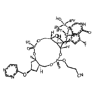 CC(C)[Si](O)(O[Si](O[C@H]1[C@H]2OP(=S)(OCCC#N)OC[C@H]3C[C@@H](Oc4ccncn4)C[C@@H]3OP(=O)(S)OC[C@@H]1O[C@H]2n1cc(F)c2c(=O)[nH]cnc21)(C(C)C)C(C)C)C(C)C